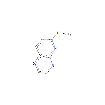 CSc1ccc2nccnc2n1